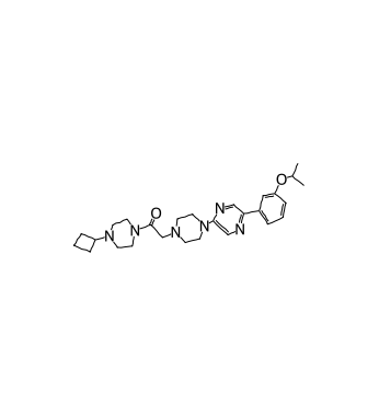 CC(C)Oc1cccc(-c2cnc(N3CCN(CC(=O)N4CCN(C5CCC5)CC4)CC3)cn2)c1